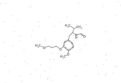 COCCCOc1cc(CC(NC=O)C(C)C)ccc1OC